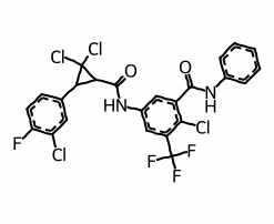 O=C(Nc1ccccc1)c1cc(NC(=O)C2C(c3ccc(F)c(Cl)c3)C2(Cl)Cl)cc(C(F)(F)F)c1Cl